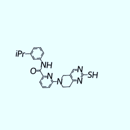 CC(C)c1cccc(NC(=O)c2cccc(N3CCc4nc(S)ncc4C3)n2)c1